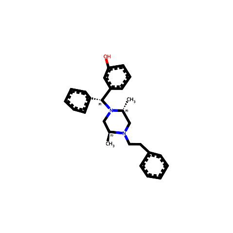 C[C@@H]1CN(CCc2ccccc2)[C@@H](C)CN1[C@H](c1ccccc1)c1cccc(O)c1